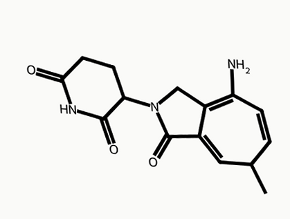 CC1C=CC(N)=C2CN(C3CCC(=O)NC3=O)C(=O)C2=C1